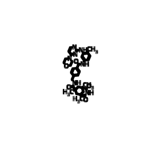 Cc1ccc(NC(=O)c2ccc(CNC(=O)C3(C)CC4(C)CC(C)(C3)C(=O)NC4=O)cc2)cc1Nc1nccc(N2CCOCC2)n1